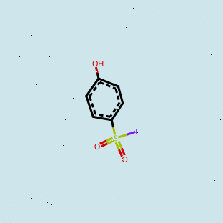 O=S(=O)(I)c1ccc(O)cc1